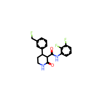 O=C1NCCC(c2cccc(CF)c2)C1C(=O)Nc1cccc(F)c1F